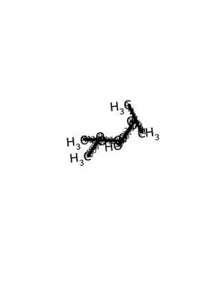 CCCCCCCCC(CCCCCC)C(=O)OCCCCCCOCC(CO)OCCCCCCOC(=O)C(CCCCCC)CCCCCCCC